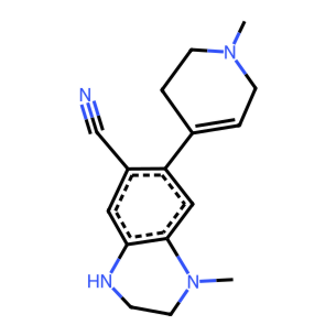 CN1CC=C(c2cc3c(cc2C#N)NCCN3C)CC1